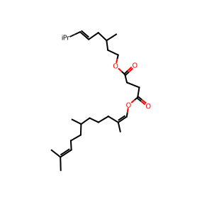 CC(C)=CCCC(C)CCCC(C)=COC(=O)CCC(=O)OCCC(C)CC=CC(C)C